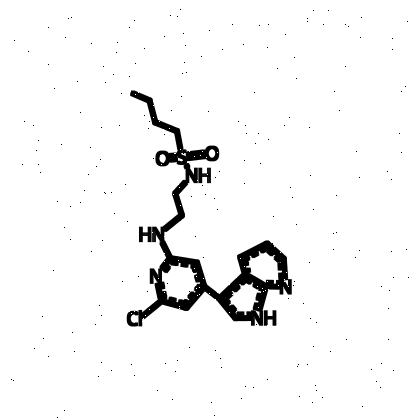 CCCCS(=O)(=O)NCCNc1cc(-c2c[nH]c3ncccc23)cc(Cl)n1